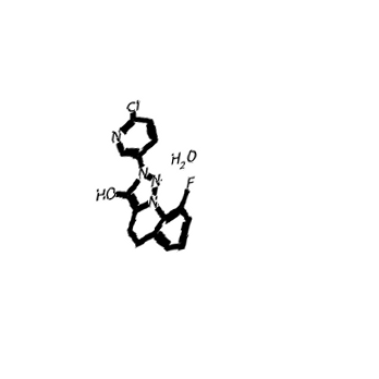 O.OC1=C2CCc3cccc(F)c3N2[N]N1c1ccc(Cl)nc1